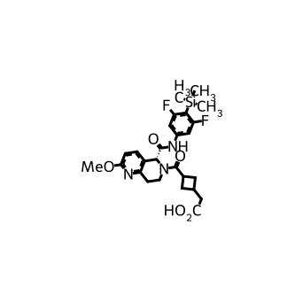 COc1ccc2c(n1)CCN(C(=O)C1CC(CC(=O)O)C1)[C@H]2C(=O)Nc1cc(F)c([Si](C)(C)C)c(F)c1